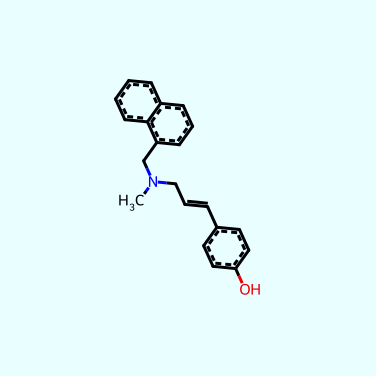 CN(C/C=C/c1ccc(O)cc1)Cc1cccc2ccccc12